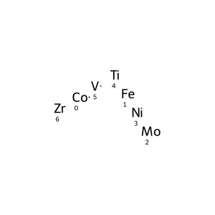 [Co].[Fe].[Mo].[Ni].[Ti].[V].[Zr]